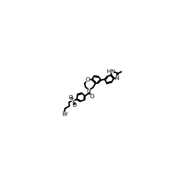 Cc1nc2ccc(-c3ccc4c(c3)CN(C(=O)c3ccc(S(=O)(=O)CCCBr)cc3)CCO4)cc2[nH]1